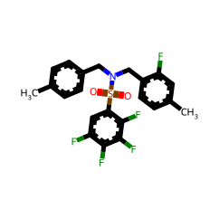 Cc1ccc(CN(Cc2ccc(C)cc2F)S(=O)(=O)c2cc(F)c(F)c(F)c2F)cc1